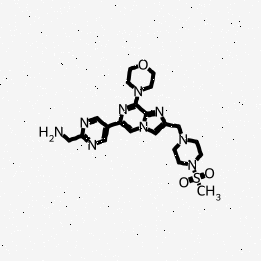 CS(=O)(=O)N1CCN(Cc2cn3cc(-c4cnc(CN)nc4)nc(N4CCOCC4)c3n2)CC1